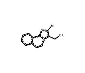 CCc1c(Br)nc2c3ccccc3ccn12